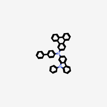 c1ccc(-c2ccc(N(c3ccc4c5ccccc5c5ccccc5c4c3)c3ccc4c5ccccc5n(-c5ccccc5)c4c3)cc2)cc1